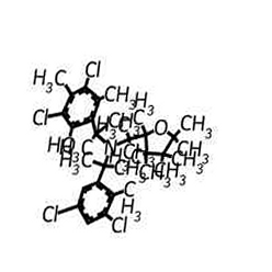 Cc1c(Cl)cc(Cl)cc1C(C)(C)N(C(C)(C)c1c(C)c(Cl)c(C)c(Cl)c1O)C(C)(C)C1(C)OC(C)(C)C(C)(C)C1(C)C